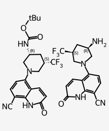 CC(C)(C)OC(=O)N[C@@H]1C[C@H](C(F)(F)F)CN(c2ccc(C#N)c3[nH]c(=O)ccc23)C1.N#Cc1ccc(N2C[C@H](N)C[C@H](C(F)(F)F)C2)c2ccc(=O)[nH]c12